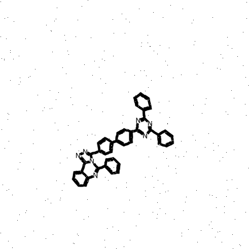 c1ccc(-c2nc(-c3ccccc3)nc(-c3ccc(-c4ccc(-c5nnc6c7ccccc7nc(-c7ccccc7)n56)cc4)cc3)n2)cc1